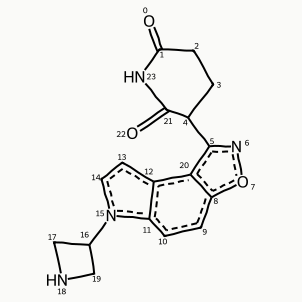 O=C1CCC(c2noc3ccc4c(ccn4C4CNC4)c23)C(=O)N1